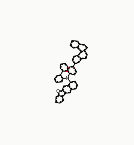 c1ccc(-c2ccccc2N(c2ccc(-c3ccc4c(ccc5ccc6ccccc6c54)c3)cc2)c2cccc3cc4c(cc23)oc2ccccc24)cc1